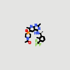 CC(=O)N1CCP(=O)(c2cc3c(N[C@H](C)c4cccc(C(F)(F)F)c4C)nc(C)nc3nc2C)CC1